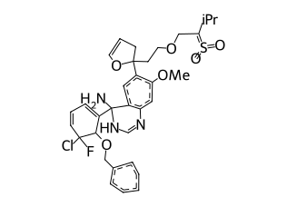 COc1cc2c(cc1C1(CCOCC(C(C)C)=S(=O)=O)CC=CO1)C(N)(C1=CC=CC(F)(Cl)C1OCc1ccccc1)NC=N2